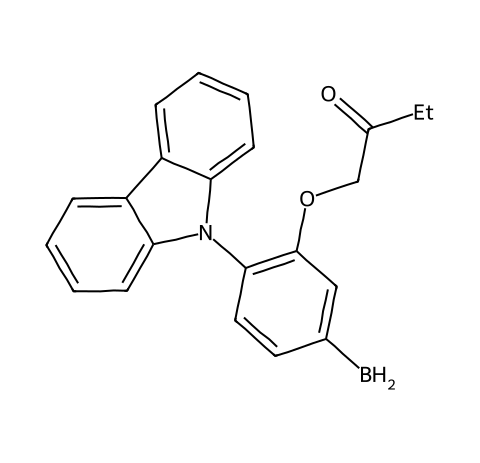 Bc1ccc(-n2c3ccccc3c3ccccc32)c(OCC(=O)CC)c1